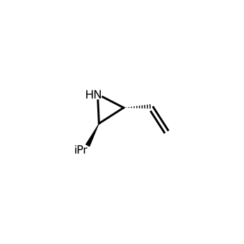 C=C[C@H]1N[C@@H]1C(C)C